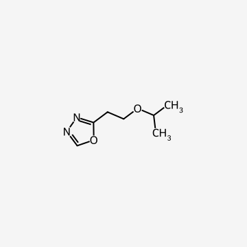 CC(C)OCCc1nnco1